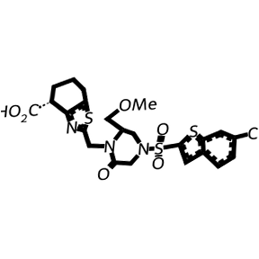 COCC1CN(S(=O)(=O)c2cc3ccc(Cl)cc3s2)CC(=O)N1Cc1nc2c(s1)CCC[C@H]2C(=O)O